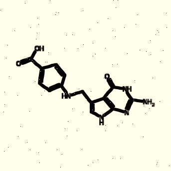 Nc1nc2[nH]cc(CNc3ccc(C(=O)O)cc3)c2c(=O)[nH]1